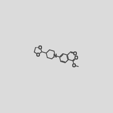 COC(=O)c1ccc(N2CCC(C3OCCO3)CC2)cc1C=O